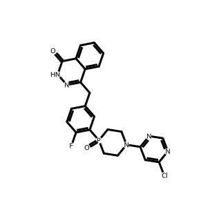 O=c1[nH]nc(Cc2ccc(F)c(P3(=O)CCN(c4cc(Cl)ncn4)CC3)c2)c2ccccc12